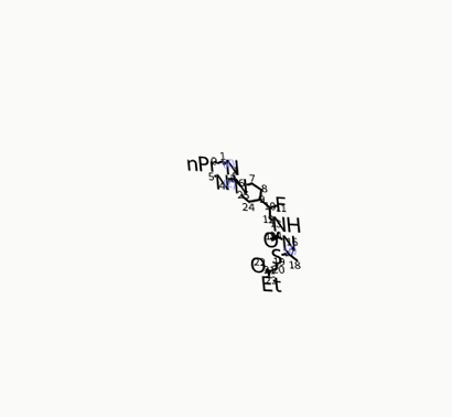 CCC/C=N\C(=N/C)N1CCC(C(F)CNC(=O)/N=C(/C)SCC(=O)CC)CC1